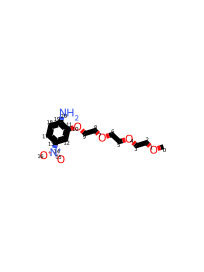 COCCOCCOCCOc1cc([N+](=O)[O-])ccc1N